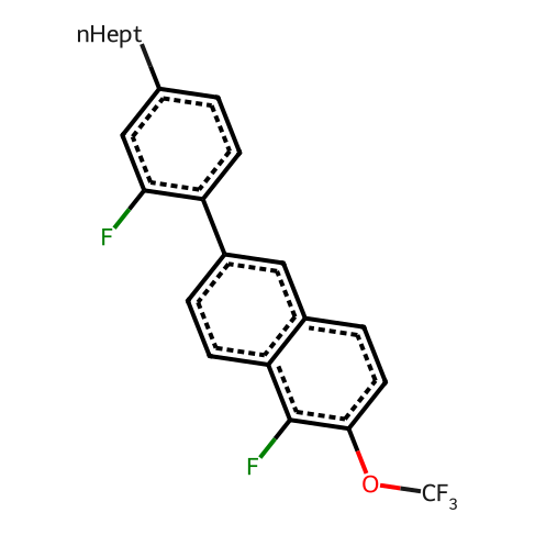 CCCCCCCc1ccc(-c2ccc3c(F)c(OC(F)(F)F)ccc3c2)c(F)c1